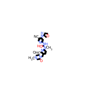 CN1CCN(Cc2ccc(N(C)C(O)Nc3cc(NC4CCOC4)c(C#N)cn3)nc2C=O)C(=O)C1